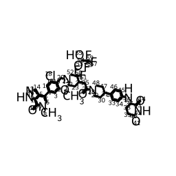 COc1cc(-c2cn(C)c(=O)c3[nH]ncc23)cc(Cl)c1CN1CCC(CC(=O)N2CCC(c3ccc(NC4CCC(=O)NC4=O)cc3)CC2)C(F)(F)C1.O=C(O)C(F)(F)F